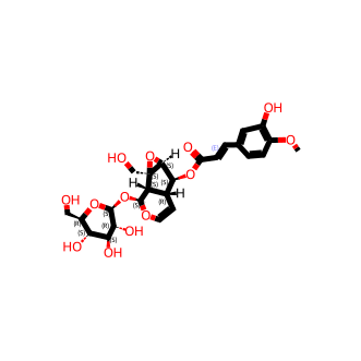 COc1ccc(/C=C/C(=O)O[C@H]2[C@@H]3C=CO[C@@H](O[C@@H]4O[C@H](CO)[C@@H](O)[C@H](O)[C@H]4O)[C@@H]3[C@@]3(CO)O[C@@H]23)cc1O